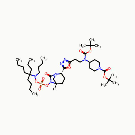 CCCCN(OS(=O)(=O)ON1C(=O)N2C[C@@H]1CC[C@H]2c1nnc(CCN(C(=O)OC(C)(C)C)C2CCN(C(=O)OC(C)(C)C)CC2)o1)C(CCC)(CCCC)CCCC